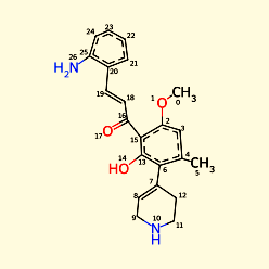 COc1cc(C)c(C2=CCNCC2)c(O)c1C(=O)/C=C/c1ccccc1N